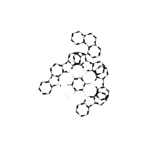 N#Cc1c(C#N)c(-n2c3cc(-c4cccc5ccc6ccccc6c45)ccc3c3ccc4c5ccccc5sc4c32)c(-n2c3ccccc3c3ccccc32)c(-n2c3ccccc3c3ccccc32)c1-n1c2ccccc2c2ccccc21